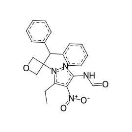 CCc1c([N+](=O)[O-])c(NC=O)nn1C1(C(c2ccccc2)c2ccccc2)COC1